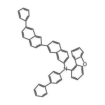 c1ccc(-c2ccc(N(c3ccc4ccc(-c5ccc6ccc(-c7ccccc7)cc6c5)cc4c3)c3cccc4oc5ccccc5c34)cc2)cc1